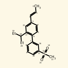 C/C=C/c1ccc(-c2cccc(S(C)(=O)=O)c2)c(C(CC)CC)c1